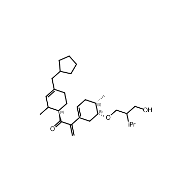 C=C(C(=O)[C@@H]1CCC(CC2CCCC2)=CC1C)C1=CC[C@H](C)[C@H](OCC(CO)C(C)C)C1